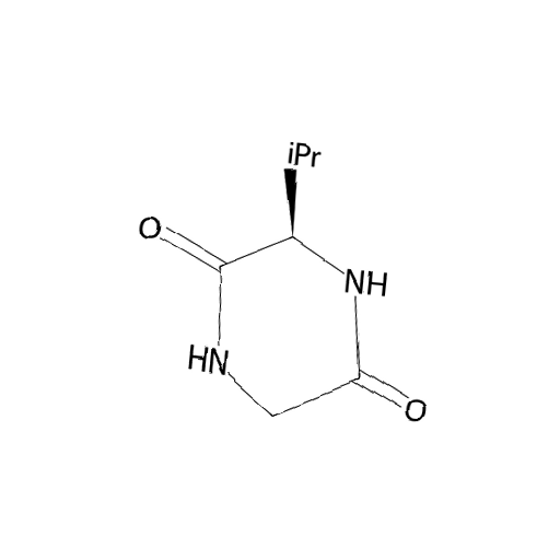 CC(C)[C@H]1NC(=O)CNC1=O